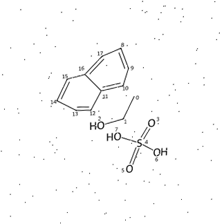 CCO.O=S(=O)(O)O.c1ccc2ccccc2c1